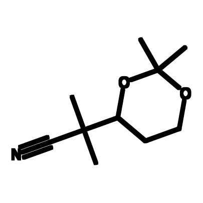 CC1(C)OCCC(C(C)(C)C#N)O1